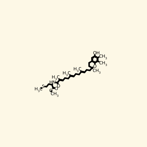 COC(=O)C(CCSC)NC(=O)/C(C)=C/CC/C(C)=C/CC/C(C)=C/CCC1(C)CCc2cc(O)c(C)c(C)c2O1